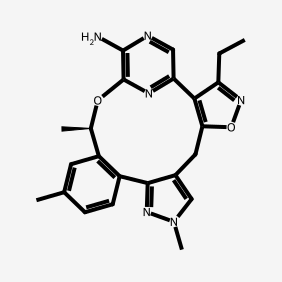 CCc1noc2c1-c1cnc(N)c(n1)O[C@H](C)c1cc(C)ccc1-c1nn(C)cc1C2